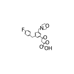 O=C(O)C(=O)CC(=O)c1cc(Cc2ccc(F)cc2)cc(CN2CCOCC2)c1